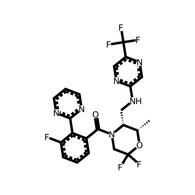 C[C@@H]1OC(F)(F)CN(C(=O)c2cccc(F)c2-c2ncccn2)[C@@H]1CNc1cnc(C(F)(F)F)cn1